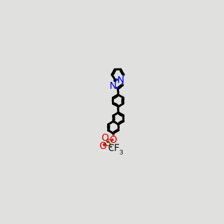 O=S(=O)(Oc1ccc2cc(-c3ccc(-c4cn5ccccc5n4)cc3)ccc2c1)C(F)(F)F